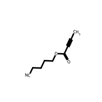 CC#CC(=O)OCCCCC#N